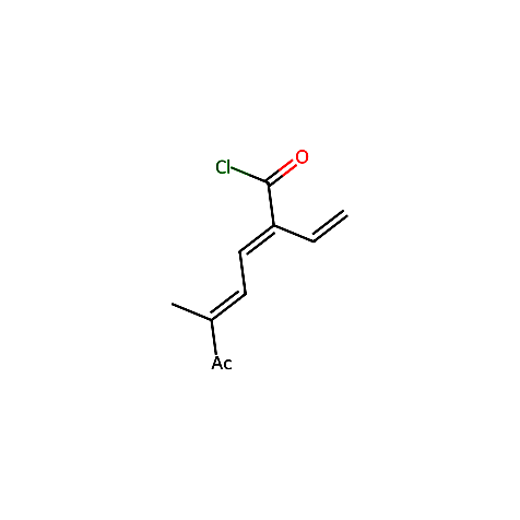 C=C/C(=C\C=C(/C)C(C)=O)C(=O)Cl